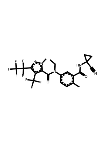 CCN(C(=O)c1c(C(F)(F)F)c(C(F)(F)C(F)(F)F)nn1C)c1ccc(C)c(C(=O)NC2(C#N)CC2)c1